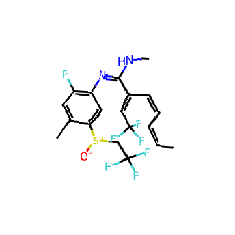 C/C=C\C=C/C(=CC(F)(F)F)/C(=N\c1cc([S+]([O-])CC(F)(F)F)c(C)cc1F)NC